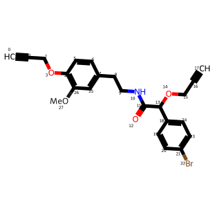 C#CCOc1ccc(CCNC(=O)C(OCC#C)c2ccc(Br)cc2)cc1OC